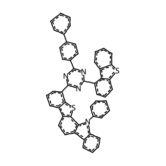 c1ccc(-c2ccc(-c3nc(-c4cccc5c4sc4c5ccc5c6ccccc6n(-c6ccccc6)c54)nc(-c4cccc5sc6ccccc6c45)n3)cc2)cc1